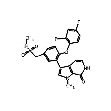 CNS(=O)(=O)Cc1ccc(Oc2ccc(F)cc2F)c(-c2cn(C)c3c(=O)[nH]ccc23)c1